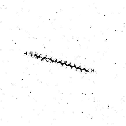 CCCCCCCCCCCCCCOCCOCCOCCOC